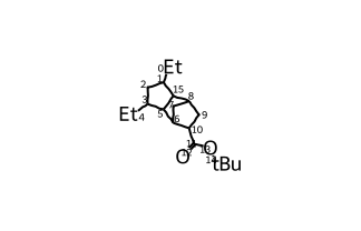 CCC1CC(CC)C2C3CC(CC3C(=O)OC(C)(C)C)C12